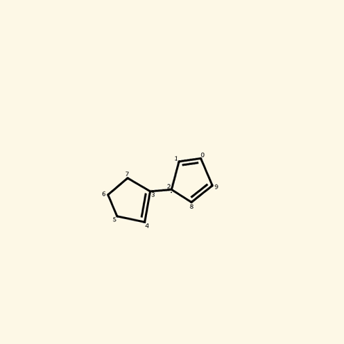 C1=C[C](C2=CCCC2)C=C1